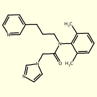 Cc1cccc(C)c1N(CCCc1cccnc1)C(=O)Cn1ccnc1